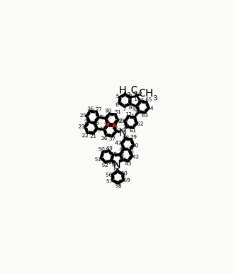 CC1(C)c2ccccc2-c2c(-c3ccc(N(c4ccc(-c5cccc6cccc(-c7ccccc7)c56)cc4)c4ccc5ccc6c(c5c4)c4ccccc4n6-c4ccccc4)cc3)cccc21